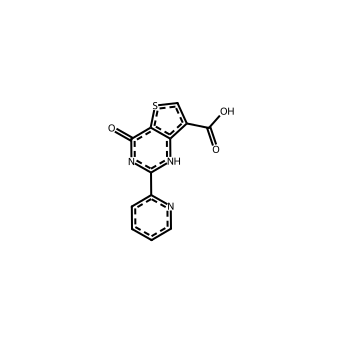 O=C(O)c1csc2c(=O)nc(-c3ccccn3)[nH]c12